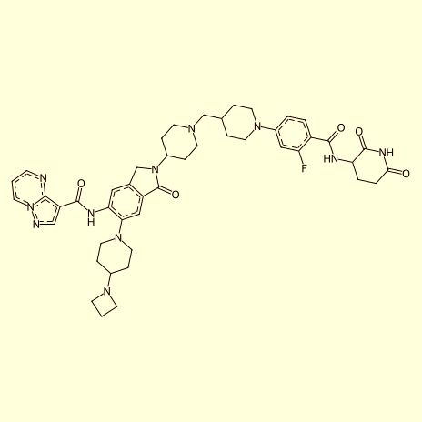 O=C1CCC(NC(=O)c2ccc(N3CCC(CN4CCC(N5Cc6cc(NC(=O)c7cnn8cccnc78)c(N7CCC(N8CCC8)CC7)cc6C5=O)CC4)CC3)cc2F)C(=O)N1